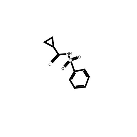 O=C(NS(=O)(=O)c1ccccc1)C1CC1